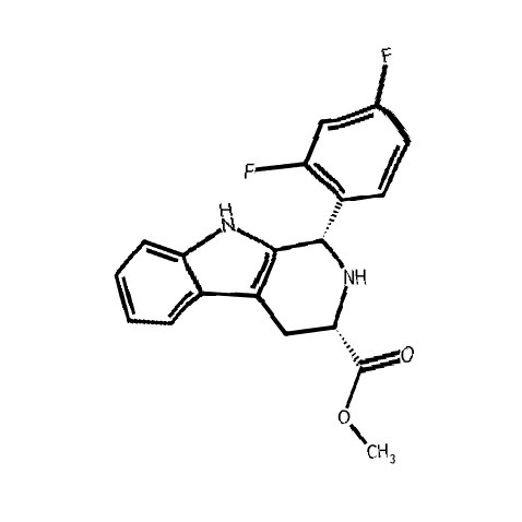 COC(=O)[C@@H]1Cc2c([nH]c3ccccc23)[C@H](c2ccc(F)cc2F)N1